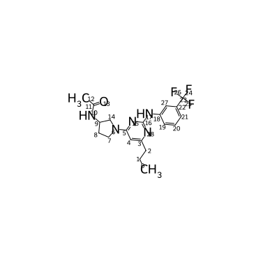 CCCc1cc(N2CCC(NC(C)=O)C2)nc(Nc2cccc(C(F)(F)F)c2)n1